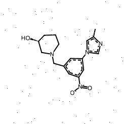 Cc1cn(-c2cc(CN3CCC[C@H](O)C3)cc([N+](=O)[O-])c2)cn1